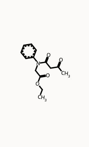 CCOC(=O)CN(C(=O)CC(C)=O)c1ccccc1